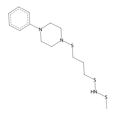 CSNSCCCSN1CCN(c2ccccc2)CC1